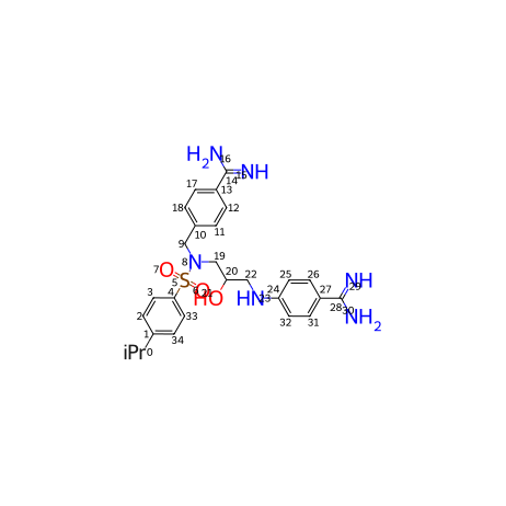 CC(C)c1ccc(S(=O)(=O)N(Cc2ccc(C(=N)N)cc2)CC(O)CNc2ccc(C(=N)N)cc2)cc1